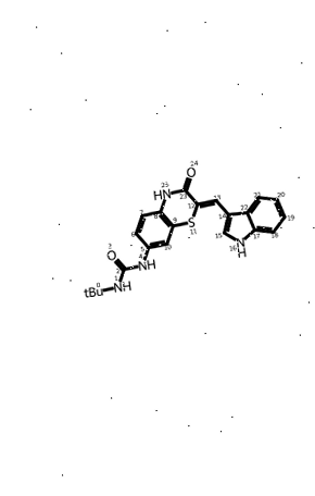 CC(C)(C)NC(=O)Nc1ccc2c(c1)SC(=Cc1c[nH]c3ccccc13)C(=O)N2